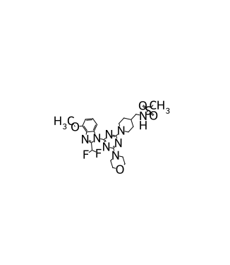 COc1cccc2c1nc(C(F)F)n2-c1nc(N2CCOCC2)nc(N2CCC(CNS(C)(=O)=O)CC2)n1